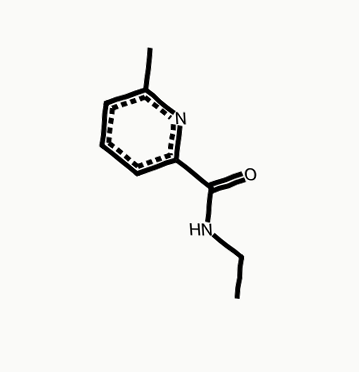 CCNC(=O)c1cccc(C)n1